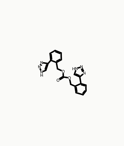 O=C(OCc1ccccc1-c1c[nH]nn1)OCc1ccccc1-c1c[nH]nn1